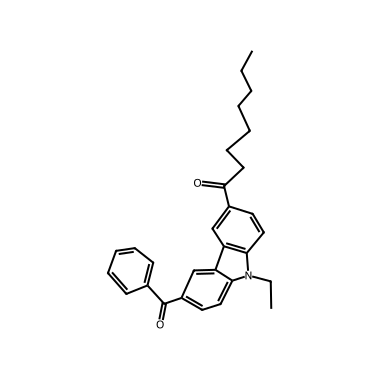 CCCCCCCC(=O)c1ccc2c(c1)c1cc(C(=O)c3ccccc3)ccc1n2CC